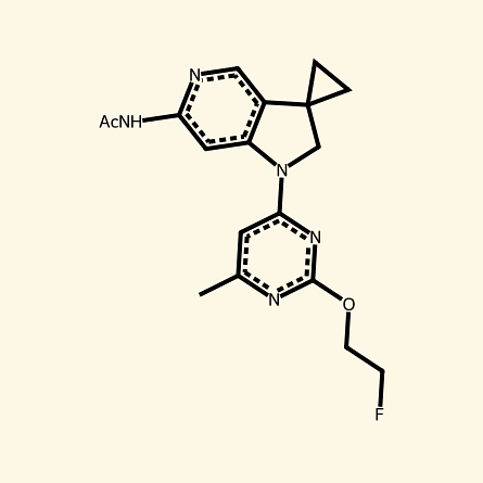 CC(=O)Nc1cc2c(cn1)C1(CC1)CN2c1cc(C)nc(OCCF)n1